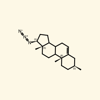 C[C@H]1CC[C@@]2(C)C(=CCC3C2CC[C@@]2(C)C3CC[C@@H]2N=[N+]=[N-])C1